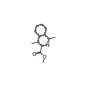 COC(=O)c1nc(C)c2ccccc2c1C